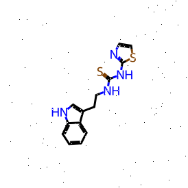 S=C(NCCc1c[nH]c2ccccc12)Nc1nccs1